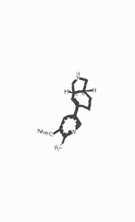 COc1cc(C2=C[C@@H]3CNC[C@@H]3CC2)cnc1C